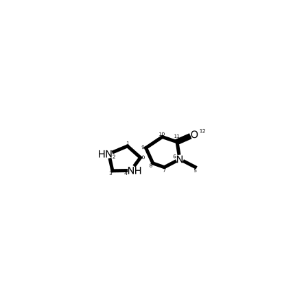 C1CNCN1.CN1CCCCC1=O